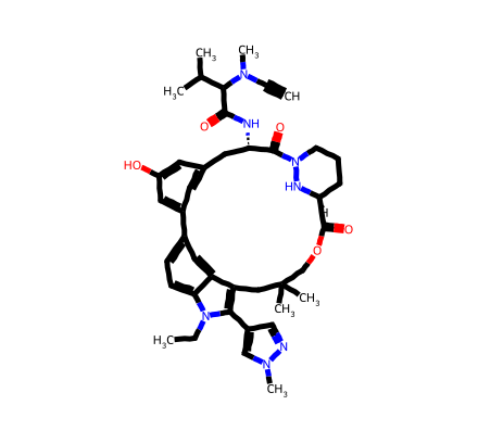 C#CN(C)C(C(=O)N[C@H]1Cc2cc(O)cc(c2)-c2ccc3c(c2)c(c(-c2cnn(C)c2)n3CC)CC(C)(C)COC(=O)[C@@H]2CCCN(N2)C1=O)C(C)C